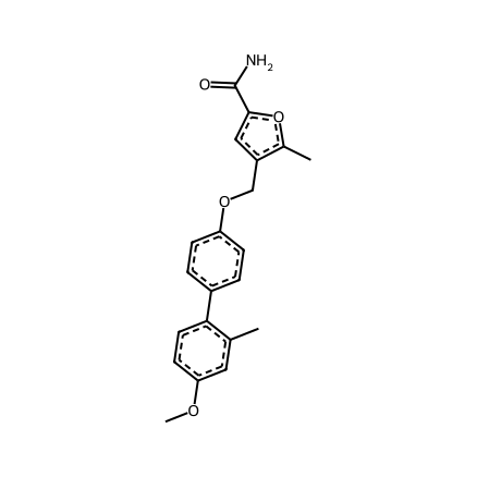 COc1ccc(-c2ccc(OCc3cc(C(N)=O)oc3C)cc2)c(C)c1